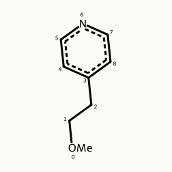 [CH2]OCCc1ccncc1